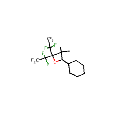 CC1(C)C(C2CCCCC2)OC1(C(F)(F)C(F)(F)F)C(F)(F)C(F)(F)F